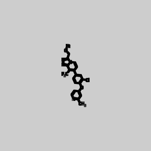 CCOCc1nnc2c(C(F)(F)F)c(-c3ccc(Oc4ccnc(C)c4)c(Cl)c3)ccn12